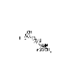 CCCCC(C)S(=O)(=O)NC1CCC(C(=O)Nc2ccc(N3C[C@@H](C)O[C@@H](C)C3)cc2)CC1